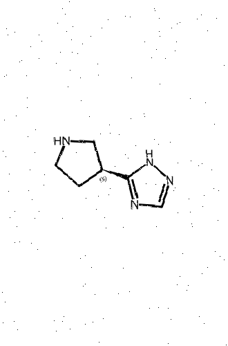 c1n[nH]c([C@H]2CCNC2)n1